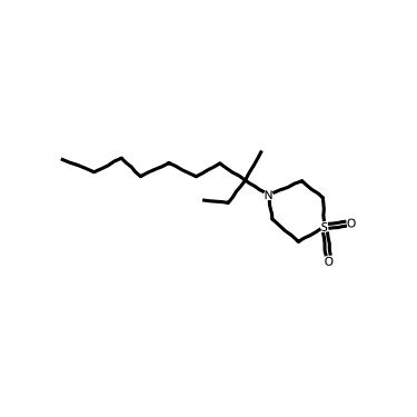 CCCCCCCC(C)(CC)N1CCS(=O)(=O)CC1